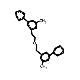 Cc1cc(CCOCCc2cc(C)cc(-c3ccccc3)c2)cc(-c2ccccc2)c1